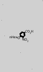 CCCCCCOc1ccc(C(=O)O)cc1[N+](=O)[O-]